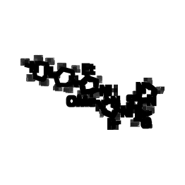 CCc1cc(Nc2ncc(Br)c(Nc3sc4nccnc4c3P(C)(C)=O)n2)c(OC)cc1N1CCC(N2CCN(C)CC2)CC1